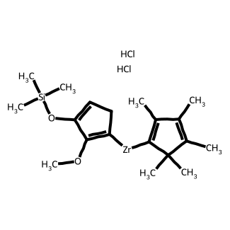 COC1=[C]([Zr][C]2=C(C)C(C)=C(C)C2(C)C)CC=C1O[Si](C)(C)C.Cl.Cl